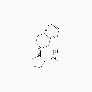 CN[C@H]1c2ccccc2CC[C@@H]1N1CCCC1